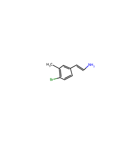 Cc1cc(C=CN)ccc1Br